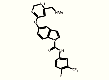 CNCC1=CC(Oc2ccc3c(ccn3C(=O)Nc3ccc(F)c(C(F)(F)F)c3)c2)=NCN1